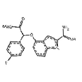 COC(=O)C(Oc1cccc2sc(C(=N)N)cc12)c1ccc(F)cc1